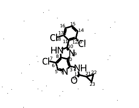 O=C(Nc1ncc(Cl)c2[nH]c(-c3c(Cl)cccc3Cl)nc12)C1CC1